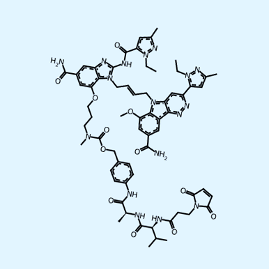 CCn1nc(C)cc1C(=O)Nc1nc2cc(C(N)=O)cc(OCCCN(C)C(=O)OCc3ccc(NC(=O)[C@H](C)NC(=O)[C@@H](NC(=O)CCN4C(=O)C=CC4=O)C(C)C)cc3)c2n1C/C=C/Cn1c2cc(-c3cc(C)nn3CC)nnc2c2cc(C(N)=O)cc(OC)c21